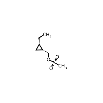 CC[C@@H]1C[C@H]1COS(C)(=O)=O